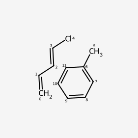 C=CC=CCl.Cc1ccccc1